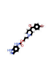 O=C(Nc1ccc2cn[nH]c2c1)OCCCN1CCC(C(=O)c2ccc(Br)cc2)CC1